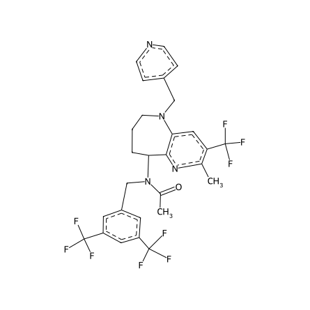 CC(=O)N(Cc1cc(C(F)(F)F)cc(C(F)(F)F)c1)C1CCCN(Cc2ccncc2)c2cc(C(F)(F)F)c(C)nc21